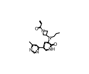 C=CC(=O)N1CC(N(CCC)c2cc(-c3cc(C)ncn3)c[nH]c2=O)C1